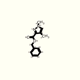 Cc1cn(C)nc1C(=O)OCc1ccccc1